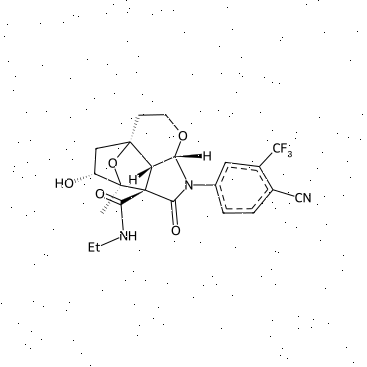 CCNC(=O)[C@@]12C(=O)N(c3ccc(C#N)c(C(F)(F)F)c3)[C@H]3OCC[C@]4(C[C@@H](O)[C@@]1(C)O4)[C@H]32